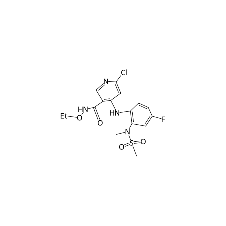 CCONC(=O)c1cnc(Cl)cc1Nc1ccc(F)cc1N(C)S(C)(=O)=O